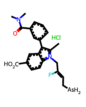 Cc1c(-c2cccc(C(=O)N(C)C)c2)c2cc(C(=O)O)ccc2n1CC(F)=CC[AsH2].Cl